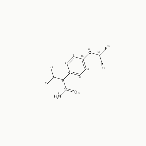 CC(C)C(C(N)=O)c1ccc(OC(F)F)cc1